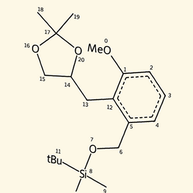 COc1cccc(CO[Si](C)(C)C(C)(C)C)c1CC1COC(C)(C)O1